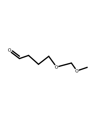 COCOCCCC=O